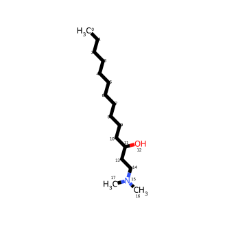 CCCCCCCCCCCC(O)CCN(C)C